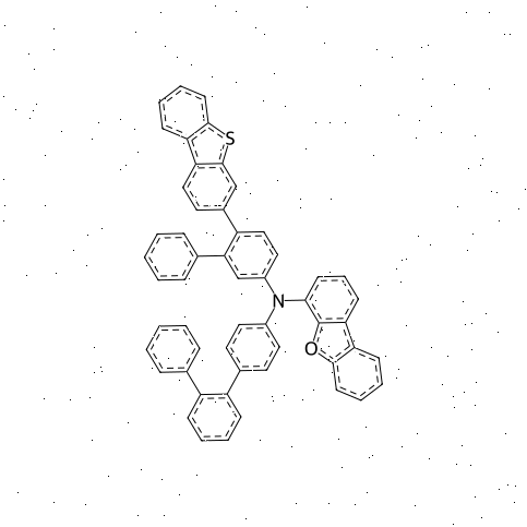 c1ccc(-c2ccccc2-c2ccc(N(c3ccc(-c4ccc5c(c4)sc4ccccc45)c(-c4ccccc4)c3)c3cccc4c3oc3ccccc34)cc2)cc1